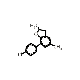 Cc1cc2c(c(-c3ccc(Cl)cc3)c1)OC(C)C2